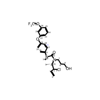 C=CC(Cl)[C@H](C)N(CCCO)C(=O)N(C)C(=C)/C=C\C(=C)Oc1cccc(OC(F)(F)F)c1